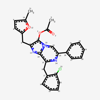 CC(=O)Oc1c(Cc2ccc(C)o2)nc2c(Cc3ccccc3Cl)nc(-c3ccccc3)cn12